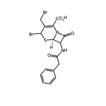 O=C(Cc1ccccc1)NC1C(=O)N2C(C(=O)O)=C(CBr)C(Br)S[C@H]12